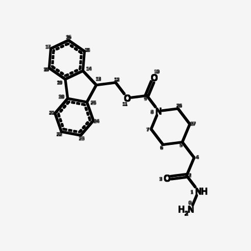 NNC(=O)CC1CCN(C(=O)OCC2c3ccccc3-c3ccccc32)CC1